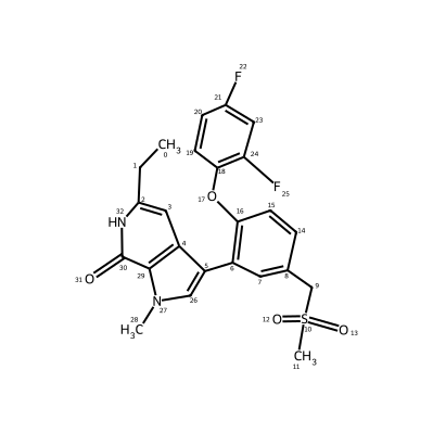 CCc1cc2c(-c3cc(CS(C)(=O)=O)ccc3Oc3ccc(F)cc3F)cn(C)c2c(=O)[nH]1